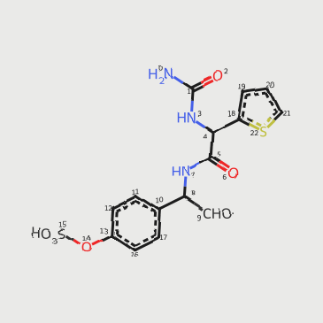 NC(=O)NC(C(=O)NC([C]=O)c1ccc(OS(=O)(=O)O)cc1)c1cccs1